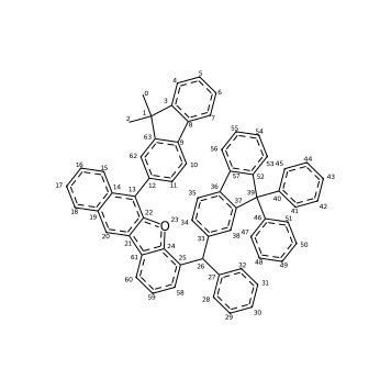 CC1(C)c2ccccc2-c2ccc(-c3c4ccccc4cc4c3oc3c(C(c5ccccc5)c5ccc6c(c5)C(c5ccccc5)(c5ccccc5)c5ccccc5-6)cccc34)cc21